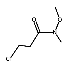 CON(C)C(=O)CCCl